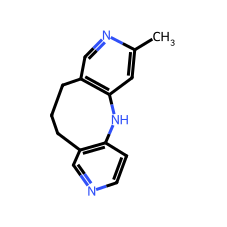 Cc1cc2c(cn1)CCCc1cnccc1N2